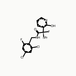 CCC[C@@](F)(C(=O)NCc1c(F)cc(Cl)cc1Cl)c1cccnc1O